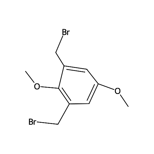 COc1cc(CBr)c(OC)c(CBr)c1